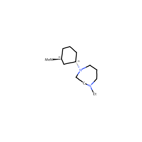 CCN1CCCN([C@H]2CCC[C@H](NC)C2)CC1